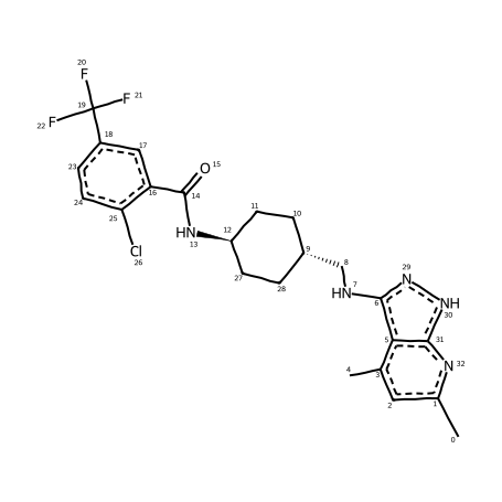 Cc1cc(C)c2c(NC[C@H]3CC[C@H](NC(=O)c4cc(C(F)(F)F)ccc4Cl)CC3)n[nH]c2n1